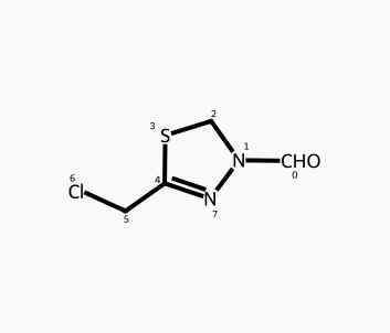 O=CN1CSC(CCl)=N1